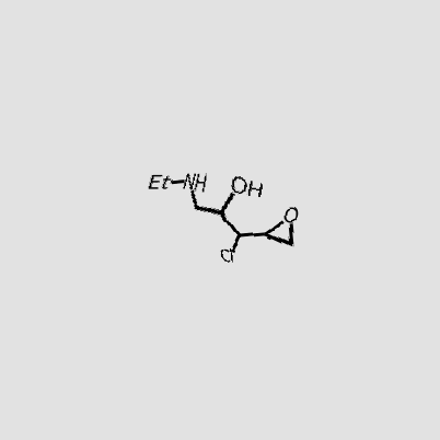 CCNCC(O)C(Cl)C1CO1